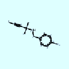 CC#CC(C)(C)NCc1ccc(F)cc1